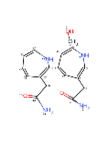 CO.NC(=O)CC1=CNC=CC=C1.NC(=O)CC1=CNC=CC=C1